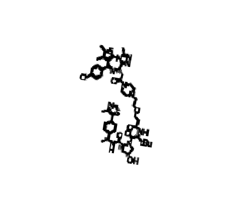 Cc1ncsc1-c1ccc([C@H](C)NC(=O)[C@@H]2C[C@@H](O)CN2C(=O)[C@@H](NC(=O)CCOCCN2CCN(C(=O)C[C@@H]3N=C(c4ccc(Cl)cc4)c4c(sc(C)c4C)-n4c(C)nnc43)CC2)C(C)(C)C)cc1